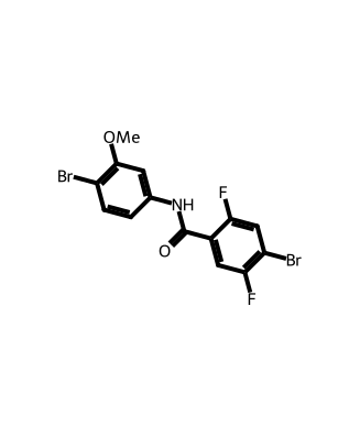 COc1cc(NC(=O)c2cc(F)c(Br)cc2F)ccc1Br